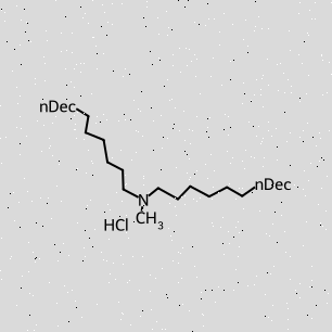 CCCCCCCCCCCCCCCCN(C)CCCCCCCCCCCCCCCC.Cl